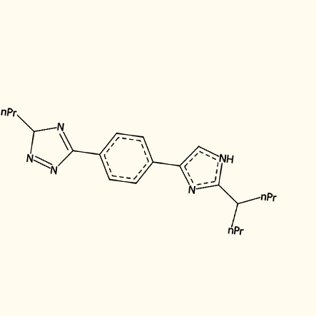 CCCC1N=NC(c2ccc(-c3c[nH]c(C(CCC)CCC)n3)cc2)=N1